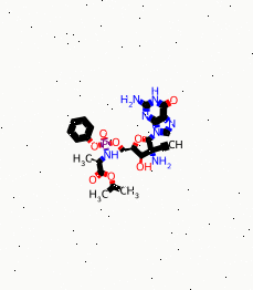 C#CC1(N)C(n2cnc3c(=O)[nH]c(N)nc32)O[C@H](COP(=O)(N[C@@H](C)C(=O)OC(C)C)Oc2ccccc2)[C@@H]1O